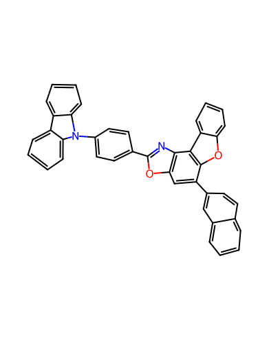 c1ccc2cc(-c3cc4oc(-c5ccc(-n6c7ccccc7c7ccccc76)cc5)nc4c4c3oc3ccccc34)ccc2c1